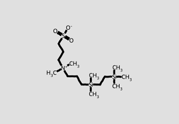 C[N+](C)(CCC[Si](C)(C)CC[Si](C)(C)C)CCCS(=O)(=O)[O-]